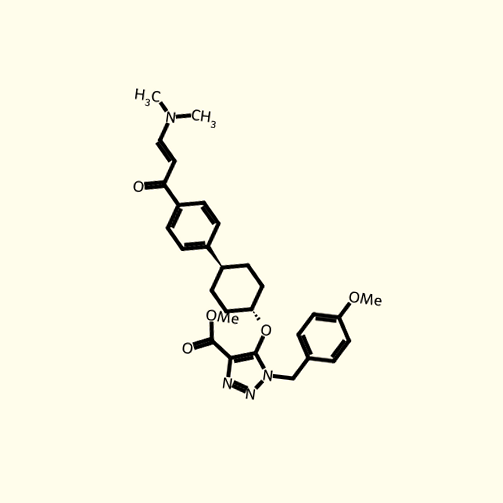 COC(=O)c1nnn(Cc2ccc(OC)cc2)c1O[C@H]1CC[C@H](c2ccc(C(=O)/C=C/N(C)C)cc2)CC1